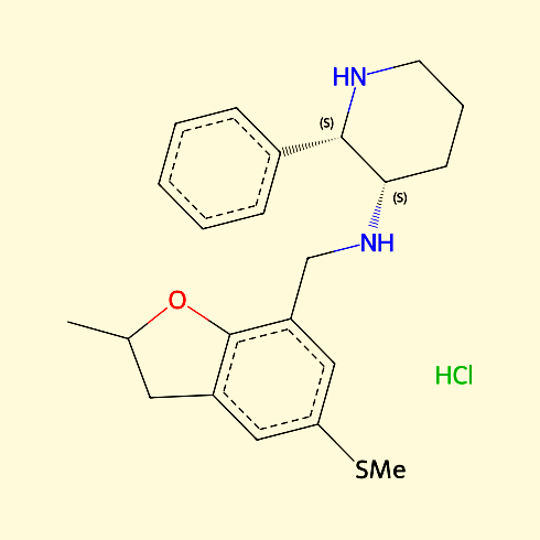 CSc1cc(CN[C@H]2CCCN[C@H]2c2ccccc2)c2c(c1)CC(C)O2.Cl